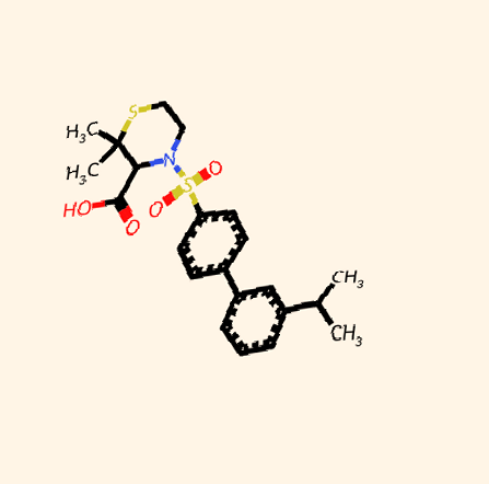 CC(C)c1cccc(-c2ccc(S(=O)(=O)N3CCSC(C)(C)C3C(=O)O)cc2)c1